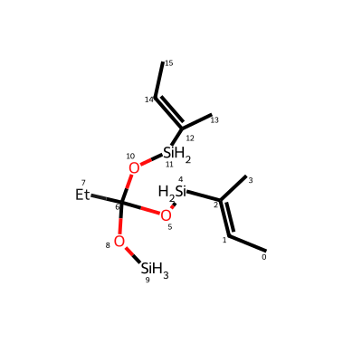 CC=C(C)[SiH2]OC(CC)(O[SiH3])O[SiH2]C(C)=CC